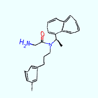 Cc1cccc(CCCN(C(=O)CN)[C@H](C)c2cccc3ccccc23)c1